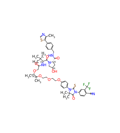 Cc1ncsc1-c1ccc(CNC(=O)[C@@H]2C[C@@H](O)CN2C(=O)[C@@H](NC(=O)CO[C@H](C)[C@@H](C)OCCOCCOc2ccc(N3C(=S)N(c4ccc(C#N)c(C(F)(F)F)c4)C(=O)C3(C)C)cc2)C(C)(C)C)cc1